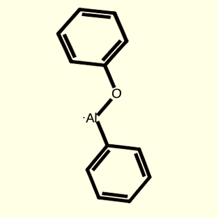 c1ccc([O][Al][c]2ccccc2)cc1